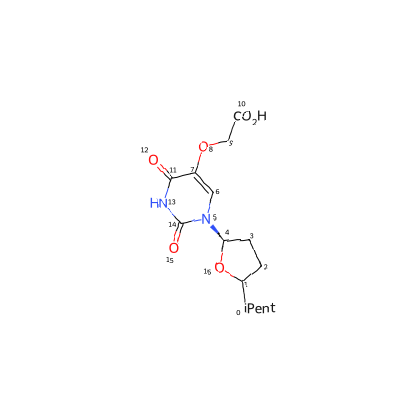 CCCC(C)C1CC[C@H](n2cc(OCC(=O)O)c(=O)[nH]c2=O)O1